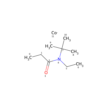 CCC(=O)N(CC)C(C)(C)C.[Co]